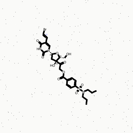 CCCN(CCC)S(=O)(=O)c1ccc(C(=O)OCC(=O)[C@]2(O)C[C@H](n3cc(/C=C/Br)c(=O)[nH]c3=O)O[C@@H]2CO)cc1